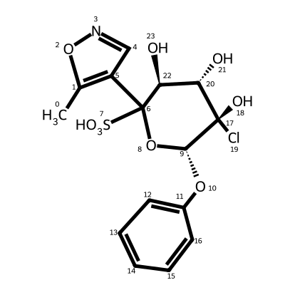 Cc1oncc1C1(S(=O)(=O)O)O[C@@H](Oc2ccccc2)[C@@](O)(Cl)[C@@H](O)[C@@H]1O